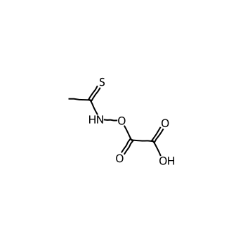 CC(=S)NOC(=O)C(=O)O